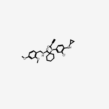 C#CC(=O)N(c1ccc(NC2CC2)c(Cl)c1)C1(C(=O)NCc2ccc(OC)cc2OC)CCCCC1